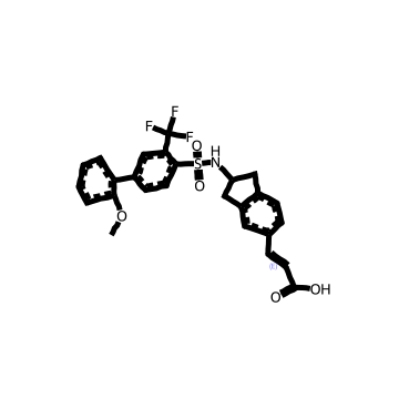 COc1ccccc1-c1ccc(S(=O)(=O)NC2Cc3ccc(/C=C/C(=O)O)cc3C2)c(C(F)(F)F)c1